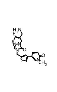 Cn1cc(-c2csc(Cn3cnn(CC(CN)=C(F)F)c3=O)c2)ccc1=O